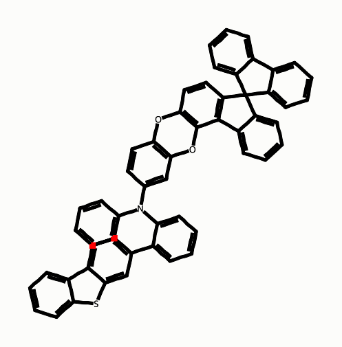 c1ccc(N(c2ccc3c(c2)Oc2c(ccc4c2-c2ccccc2C42c4ccccc4-c4ccccc42)O3)c2ccccc2-c2ccc3c(c2)sc2ccccc23)cc1